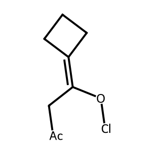 CC(=O)CC(OCl)=C1CCC1